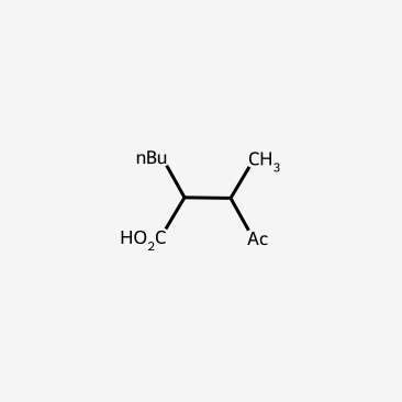 CCCCC(C(=O)O)C(C)C(C)=O